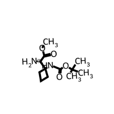 COC(=O)[C@@H](N)C1(NC(=O)OC(C)(C)C)CCC1